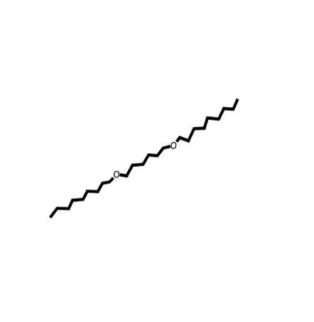 CCCCCCCCCOCCCCCCOCCCCCCCCC